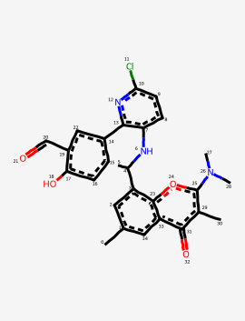 Cc1cc(C(C)Nc2ccc(Cl)nc2-c2ccc(O)c(C=O)c2)c2oc(N(C)C)c(C)c(=O)c2c1